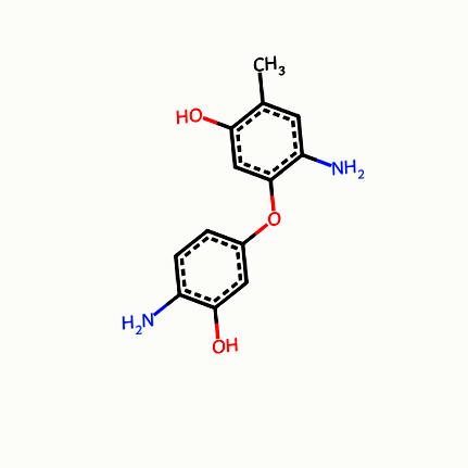 Cc1cc(N)c(Oc2ccc(N)c(O)c2)cc1O